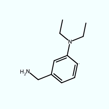 CCN(CC)c1[c]ccc(CN)c1